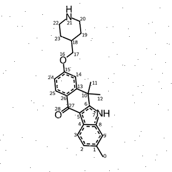 Cc1ccc2c3c([nH]c2c1)C(C)(C)c1cc(OCC2CCNCC2)ccc1C3=O